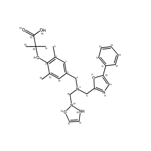 Cc1cc(CN(Cc2ncc(-c3ccccc3)o2)CN2NC=CO2)cc(C)c1OC(C)(C)C(=O)O